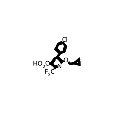 O=C(O)c1cc(-c2ccc(Cl)cc2)c(OCC2CC2)nc1C(F)(F)F